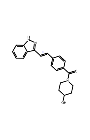 O=C(c1ccc(/C=C/c2n[nH]c3ccccc23)cc1)N1CCC(O)CC1